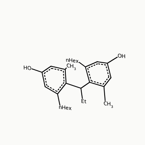 CCCCCCc1cc(O)cc(C)c1C(CC)c1c(C)cc(O)cc1CCCCCC